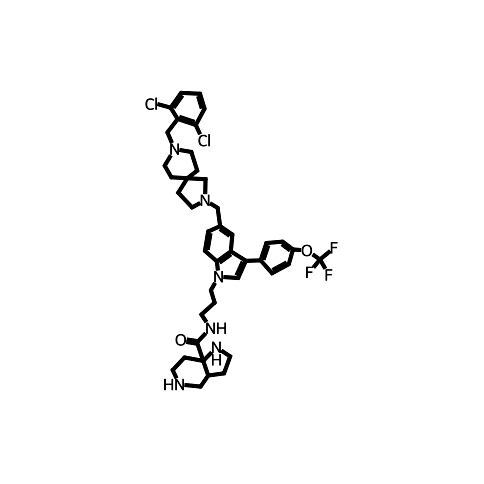 O=C(NCCCn1cc(-c2ccc(OC(F)(F)F)cc2)c2cc(CN3CCC4(CCN(Cc5c(Cl)cccc5Cl)CC4)C3)ccc21)C12CCNCC1CCN2